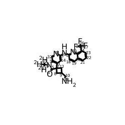 [2H]C([2H])([2H])N1C(=O)C2(CC(CN)C2)c2cc(Nc3ccc4cccc(C(F)(F)F)c4n3)ncc21